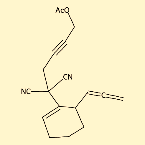 C=C=CC1CCCC=C1C(C#N)(C#N)CC#CCOC(C)=O